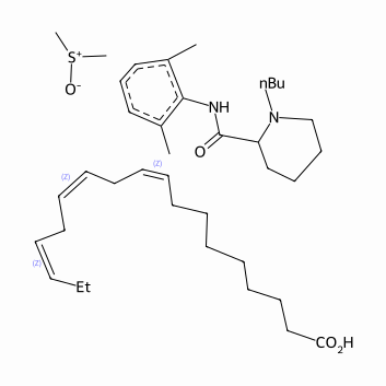 CC/C=C\C/C=C\C/C=C\CCCCCCCC(=O)O.CCCCN1CCCCC1C(=O)Nc1c(C)cccc1C.C[S+](C)[O-]